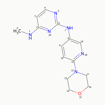 CNc1ccnc(Nc2ccc(N3CCOCC3)nc2)n1